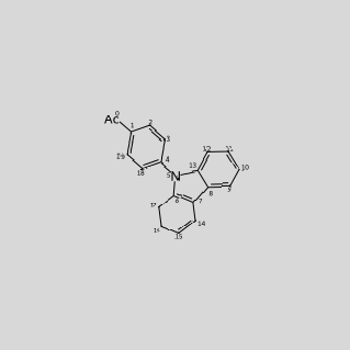 CC(=O)c1ccc(-n2c3c(c4ccccc42)C=CCC3)cc1